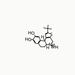 Br.CC(C)(C)c1cc2c(s1)CN[C@H]1CCc3cc(O)c(O)cc3[C@H]21